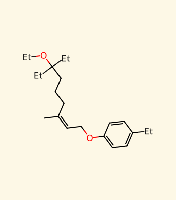 CCOC(CC)(CC)CCCC(C)=CCOc1ccc(CC)cc1